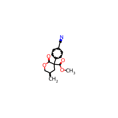 C=C1COC(=O)C(C(=O)OC)(c2ccc(C#N)cc2)C1